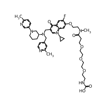 Cc1ccc(N2CCC[C@H](N(Cc3ccnc(C)c3)Cc3cn(C4CC4)c4cc(OCCN(C)C(=O)CCOCCOCCOCCNC(=O)O)c(F)cc4c3=O)C2)cn1